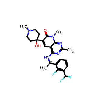 Cc1nc(N[C@H](C)c2cccc(C(F)F)c2F)c2cc(C3(O)CCN(C)CC3)c(=O)n(C)c2n1